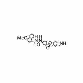 COc1ccc(C(C)NC(=O)Nc2ccc(S(=O)(=O)Cc3ccc4c(c3)CNC4)cc2)c2ccccc12